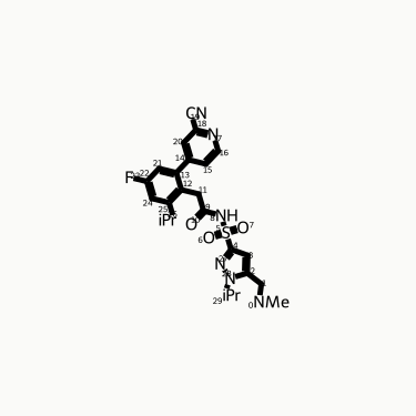 CNCc1cc(S(=O)(=O)NC(=O)Cc2c(-c3ccnc(C#N)c3)cc(F)cc2C(C)C)nn1C(C)C